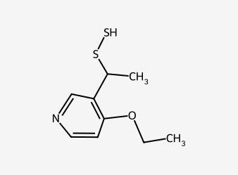 CCOc1ccncc1C(C)SS